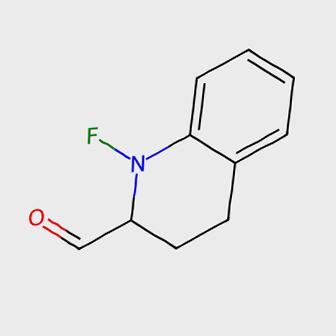 O=CC1CCc2ccccc2N1F